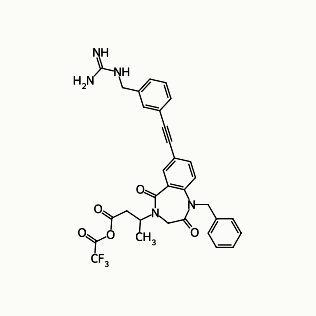 CC(CC(=O)OC(=O)C(F)(F)F)N1CC(=O)N(Cc2ccccc2)c2ccc(C#Cc3cccc(CNC(=N)N)c3)cc2C1=O